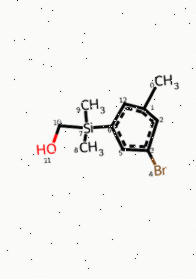 Cc1cc(Br)cc([Si](C)(C)CO)c1